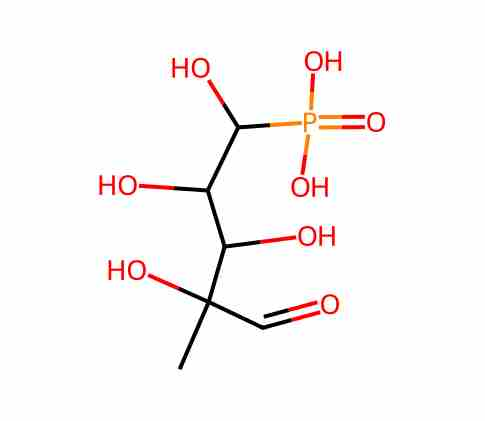 CC(O)(C=O)C(O)C(O)C(O)P(=O)(O)O